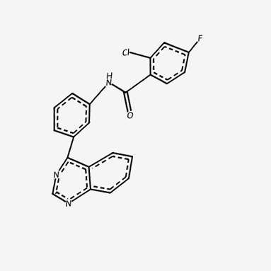 O=C(Nc1cccc(-c2ncnc3ccccc23)c1)c1ccc(F)cc1Cl